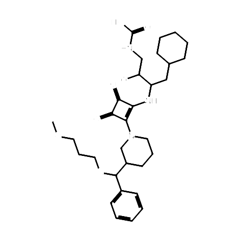 COCCCOC(c1ccccc1)C1CCCN(c2c(NC(CC3CCCCC3)C(O)CNC(=O)O)c(=O)c2=O)C1